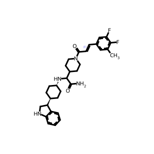 Cc1cc(/C=C/C(=O)N2CCC(C(N[C@H]3CC[C@H](C4CNc5ccccc54)CC3)C(N)=O)CC2)cc(F)c1F